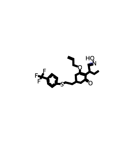 C=CCOC1=C(C(/C=N/O)CC)C(=O)CC(CCSc2ccc(C(F)(F)F)cc2)C1